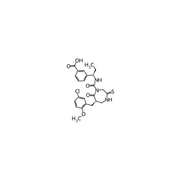 CC[C@@H](NC(=O)N1CC(=S)NC[C@@H](Cc2cc(Cl)ccc2OC)C1=O)c1cccc(C(=O)O)c1